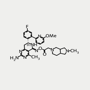 COc1cccc(-c2cc(F)ccc2[C@H]2Cc3nc(N)nc(C)c3C(=NOC(=O)CN3CCC4CN(C)CC4C3)N2)n1